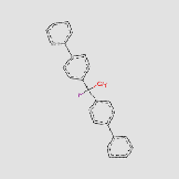 OC(I)(c1ccc(-c2ccccc2)cc1)c1ccc(-c2ccccc2)cc1